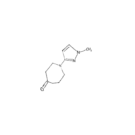 Cn1ccc(N2CCC(=O)CC2)n1